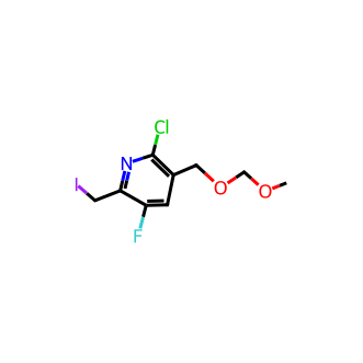 COCOCc1cc(F)c(CI)nc1Cl